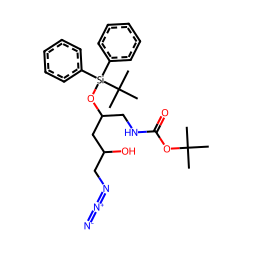 CC(C)(C)OC(=O)NCC(CC(O)CN=[N+]=[N-])O[Si](c1ccccc1)(c1ccccc1)C(C)(C)C